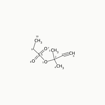 C#CC(C)(C)OS(=O)(=O)CC